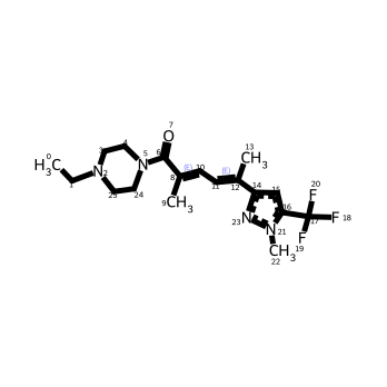 CCN1CCN(C(=O)/C(C)=C/C=C(\C)c2cc(C(F)(F)F)n(C)n2)CC1